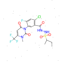 CCC(C)S(=O)(=O)NNC(=O)c1cc(-n2c(=O)cc(C(F)(F)F)n(C)c2=O)c(F)cc1Cl